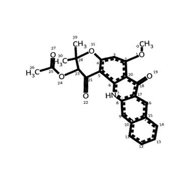 COc1cc2c(c3[nH]c4cc5ccccc5cc4c(=O)c13)C(=O)C(OC(C)=O)C(C)(C)O2